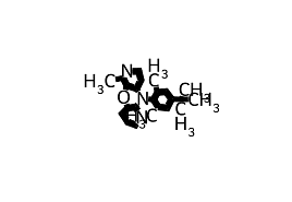 Cc1cc(C(C)(C)C)cc(C)c1N1c2ccnc(C)c2Oc2cccnc21